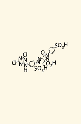 O=C(O)C1=NN(c2ccc(S(=O)(=O)O)cc2)C(=O)C1/N=N/c1ccc(Nc2nc(Cl)nc(Cl)n2)cc1S(=O)(=O)O